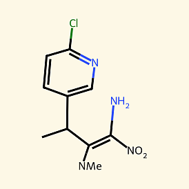 CNC(=C(N)[N+](=O)[O-])C(C)c1ccc(Cl)nc1